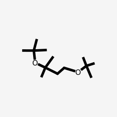 CC(C)(C)OCCC(C)(C)OC(C)(C)C